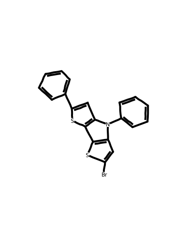 Brc1cc2c(s1)c1sc(-c3ccccc3)cc1n2-c1ccccc1